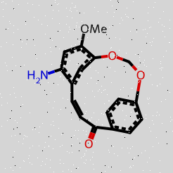 COc1cc(N)c2cc1OCOc1ccc(cc1)C(=O)C=C2